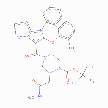 CNC(=O)CC1CN(C(=O)c2c(Oc3c(C)cccc3C)n(-c3ccccc3)c3cccnc23)CCN1C(=O)OC(C)(C)C